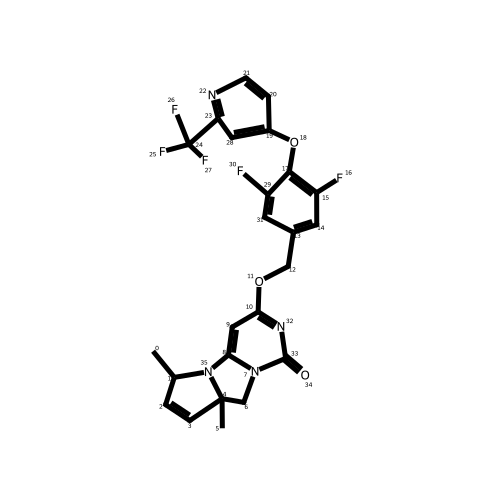 CC1C=CC2(C)Cn3c(cc(OCc4cc(F)c(Oc5ccnc(C(F)(F)F)c5)c(F)c4)nc3=O)N12